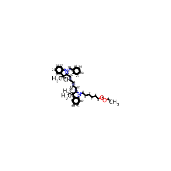 CCOOCCCCCCN1/C(=C/C=C/C=C/C2=[N+](Cc3ccccc3)c3ccccc3C2(C)C)C(C)(C)c2ccccc21